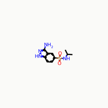 CC(C)NS(=O)(=O)c1ccc2[nH]nc(N)c2c1